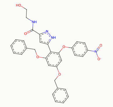 O=C(NCCO)c1cc(-c2c(OCc3ccccc3)cc(OCc3ccccc3)cc2Oc2ccc([N+](=O)[O-])cc2)[nH]n1